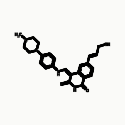 CN1CCN(c2ccc(NC=C3C(=O)NC(=O)c4ccc(C=CCO)cc43)cc2)CC1